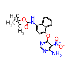 CC(C)(C)OC(=O)Nc1ccc(Oc2ncnc(N)c2[N+](=O)[O-])c2ccccc12